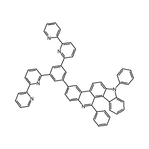 c1ccc(-c2nc3ccc(-c4cc(-c5cccc(-c6ccccn6)n5)cc(-c5cccc(-c6ccccn6)n5)c4)cc3c3ccc4c(c5ccccc5n4-c4ccccc4)c23)cc1